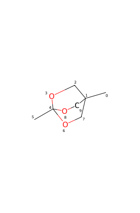 CC12COC(C)(OC1)OC2